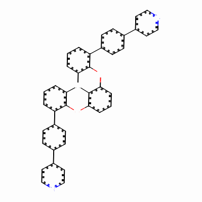 c1cc2c3c(c1)Oc1c(cccc1-c1ccc(-c4ccncc4)cc1)B3c1cccc(-c3ccc(-c4ccncc4)cc3)c1O2